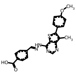 COc1ccc(-c2sc3c(NN=Cc4ccc(C(=O)O)cc4)ncnc3c2C)cc1